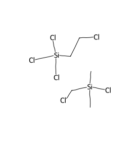 C[Si](C)(Cl)CCl.ClCC[Si](Cl)(Cl)Cl